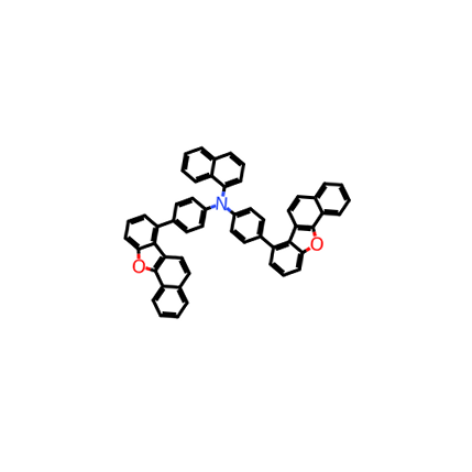 c1ccc2c(N(c3ccc(-c4cccc5oc6c7ccccc7ccc6c45)cc3)c3ccc(-c4cccc5oc6c7ccccc7ccc6c45)cc3)cccc2c1